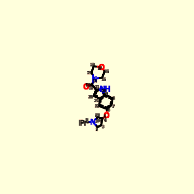 CC(C)N1CC[C@H](Oc2ccc3[nH]c(C(=O)N4CCOCC4)cc3c2)C1